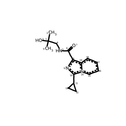 CC(C)(O)CNC(=O)c1nc(C2CC2)n2ccccc12